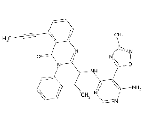 CC#Cc1cccc2nc(C(CC)Nc3ncnc(N)c3-c3nc(C)no3)n(-c3ccccc3)c(=O)c12